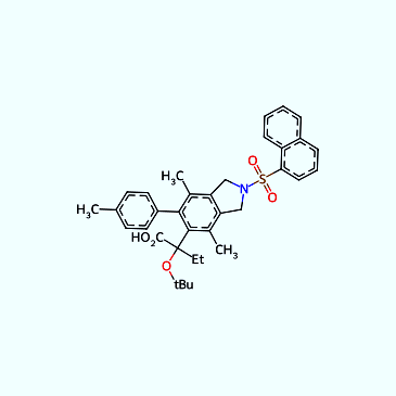 CCC(OC(C)(C)C)(C(=O)O)c1c(C)c2c(c(C)c1-c1ccc(C)cc1)CN(S(=O)(=O)c1cccc3ccccc13)C2